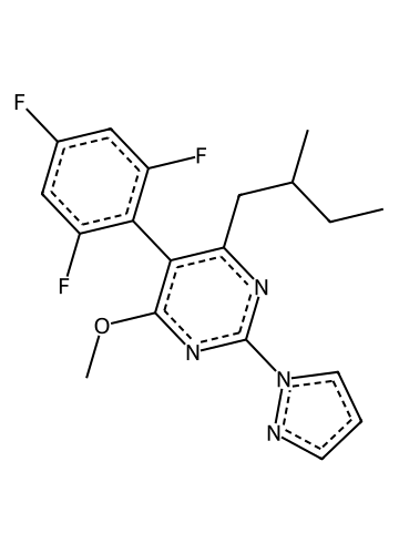 CCC(C)Cc1nc(-n2cccn2)nc(OC)c1-c1c(F)cc(F)cc1F